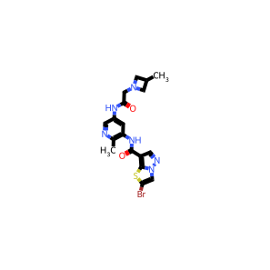 Cc1ncc(NC(=O)CN2CC(C)C2)cc1NC(=O)c1cnn2cc(Br)sc12